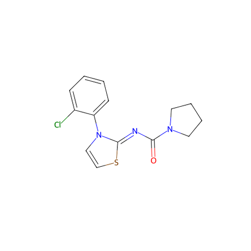 O=C(/N=c1\sccn1-c1ccccc1Cl)N1CCCC1